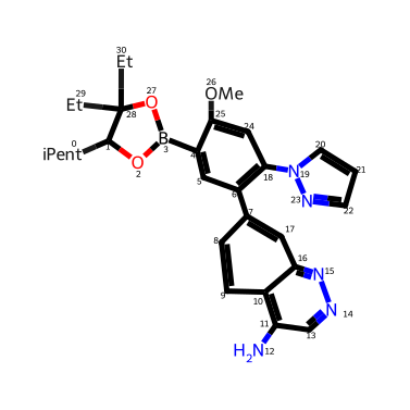 CCCC(C)C1OB(c2cc(-c3ccc4c(N)cnnc4c3)c(-n3cccn3)cc2OC)OC1(CC)CC